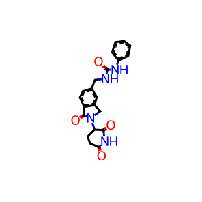 O=C1CCC(N2Cc3cc(CNC(=O)Nc4ccccc4)ccc3C2=O)C(=O)N1